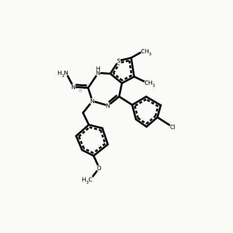 COc1ccc(CN2N=C(c3ccc(Cl)cc3)c3c(sc(C)c3C)N/C2=N\N)cc1